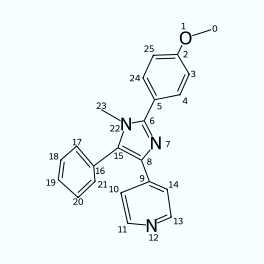 COc1ccc(-c2nc(-c3ccncc3)c(-c3ccccc3)n2C)cc1